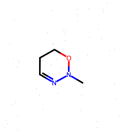 CN1N=CCCO1